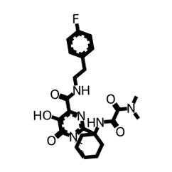 CN(C)C(=O)C(=O)NC12CCC(CC1)Cn1c2nc(C(=O)NCCc2ccc(F)cc2)c(O)c1=O